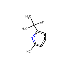 CCCC(C)(C)c1cccc(C#N)n1